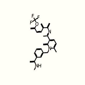 C=C(/C=C\C(=C)C(=C)/N=C(\C)C1=CC=C(C)N(Cc2cccc(C(=C)NC)c2)C1=C)OC(F)(F)F